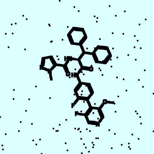 COc1cncc(F)c1-c1ccc(NC(=O)[C@@H](NC(=O)c2ccnn2C)C(c2ccccc2)c2ccccc2)cc1F